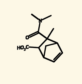 CN(C)C(=O)C1(C)C2C=CC(C2)C1C(=O)O